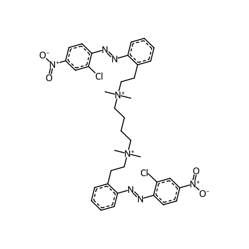 C[N+](C)(CCCC[N+](C)(C)CCc1ccccc1N=Nc1ccc([N+](=O)[O-])cc1Cl)CCc1ccccc1N=Nc1ccc([N+](=O)[O-])cc1Cl